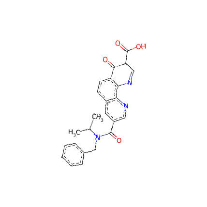 CC(C)N(Cc1ccccc1)C(=O)c1cnc2c3c(ccc2c1)C(=O)C(C(=O)O)C=N3